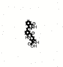 O=C(O)c1[nH]cc2c1CNC(C(=O)c1cc(Cc3n[nH]c(=O)c4ccccc34)ccc1F)C2